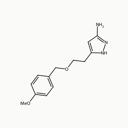 COc1ccc(COCCc2cc(N)n[nH]2)cc1